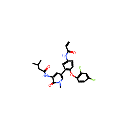 C=CC(=O)Nc1ccc(Oc2ccc(F)cc2F)c(-c2cc(NC(=O)CC(C)C)c(=O)n(C)c2)c1